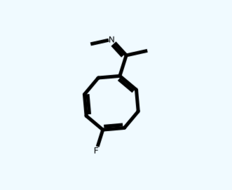 C/N=C(/C)C1=CC/C=C(F)\C=C/C1